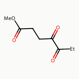 CCC(=O)C(=O)CCC(=O)OC